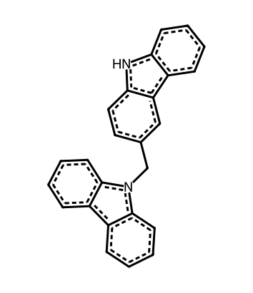 c1ccc2c(c1)[nH]c1ccc(Cn3c4ccccc4c4ccccc43)cc12